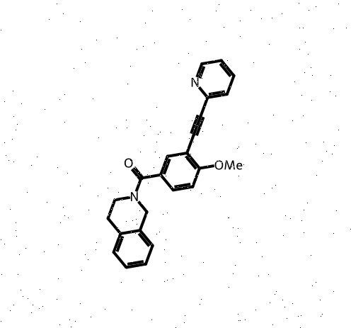 COc1ccc(C(=O)N2CCc3ccccc3C2)cc1C#Cc1ccccn1